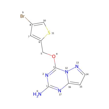 Nc1nc(OCc2cc(Br)cs2)n2nccc2n1